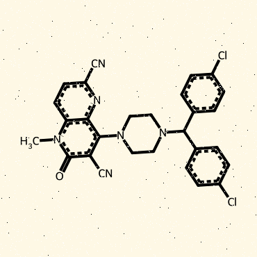 Cn1c(=O)c(C#N)c(N2CCN(C(c3ccc(Cl)cc3)c3ccc(Cl)cc3)CC2)c2nc(C#N)ccc21